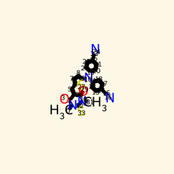 CN1C(=O)C(=Cc2ccc(N(c3ccc(C#N)cc3)c3ccc(C#N)cc3)s2)C(=O)N(C)C1=S